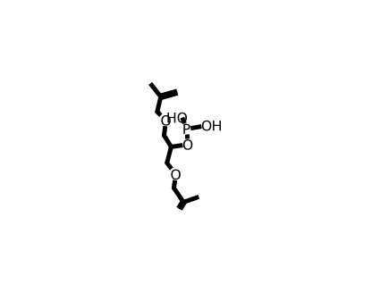 C=C(C)COCC(COCC(=C)C)OP(O)O